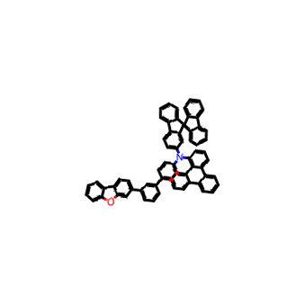 c1cc(-c2ccc(N(c3ccc4c(c3)C3(c5ccccc5-c5ccccc53)c3ccccc3-4)c3cccc4c5ccccc5c5ccccc5c34)cc2)cc(-c2ccc3c(c2)oc2ccccc23)c1